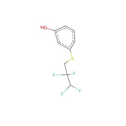 Oc1cccc(SCC(F)(F)C(F)F)c1